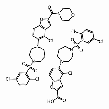 O=C(O)c1cc2c(Cl)c(N3CCCN(S(=O)(=O)c4cc(Cl)ccc4Cl)CC3)ccc2o1.O=C(c1cc2c(Cl)c(N3CCCN(S(=O)(=O)c4cc(Cl)ccc4Cl)CC3)ccc2o1)N1CCOCC1